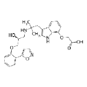 CC(C)(Cc1c[nH]c2c(OCC(=O)O)cccc12)NC[C@H](O)COc1ccccc1-c1ccno1